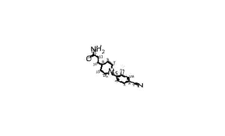 N#Cc1ccc(N2CCC(CCC(N)=O)CC2)cc1